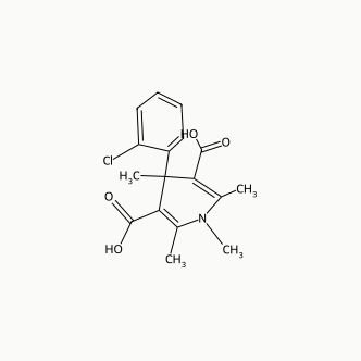 CC1=C(C(=O)O)C(C)(c2ccccc2Cl)C(C(=O)O)=C(C)N1C